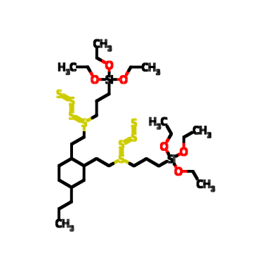 CCCC1CCC(CCS(CCC[Si](OCC)(OCC)OCC)=S=S=S)C(CCS(CCC[Si](OCC)(OCC)OCC)=S=S=S)C1